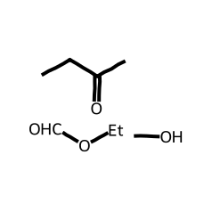 CCC(C)=O.CCOC=O.CO